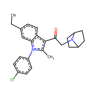 Cc1c(C(=O)CN2C3CCC2CC3)c2ccc(CC#N)cc2n1-c1ccc(Cl)cc1